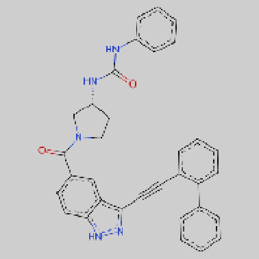 O=C(Nc1ccccc1)N[C@@H]1CCN(C(=O)c2ccc3[nH]nc(C#Cc4ccccc4-c4ccccc4)c3c2)C1